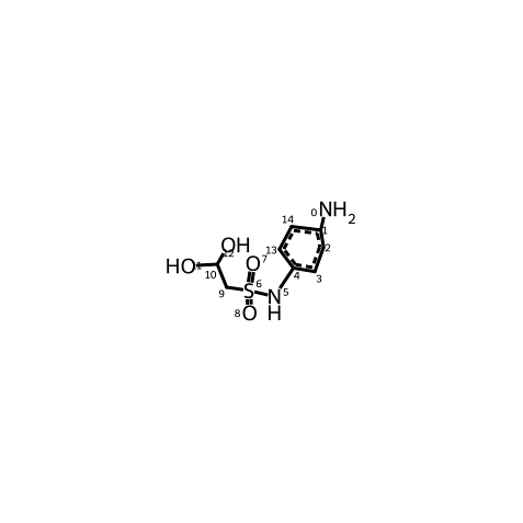 Nc1ccc(NS(=O)(=O)CC(O)O)cc1